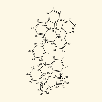 c1ccc([Si]2(c3ccccc3)c3ccccc3N(c3cccc(N4c5ccccc5C5(c6ccccc64)c4ncccc4-c4cccnc45)c3)c3ccccc32)cc1